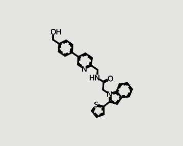 O=C(Cn1c(-c2cccs2)cc2ccccc21)NCc1ccc(-c2ccc(CO)cc2)cn1